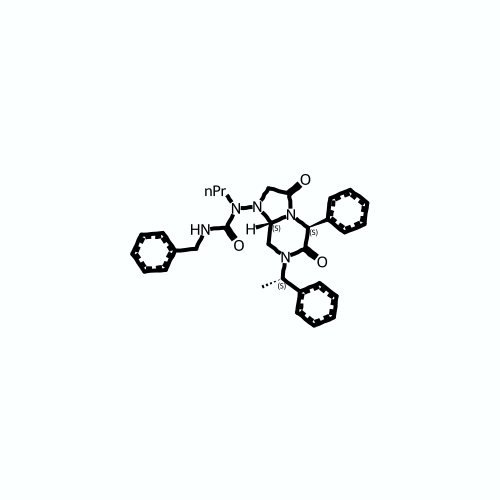 CCCN(C(=O)NCc1ccccc1)N1CC(=O)N2[C@@H](c3ccccc3)C(=O)N([C@@H](C)c3ccccc3)C[C@@H]21